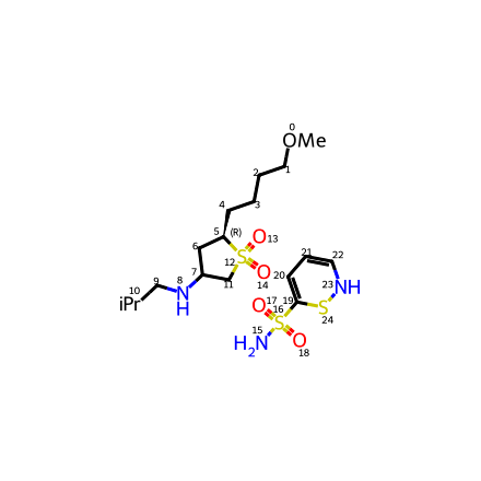 COCCCC[C@@H]1CC(NCC(C)C)CS1(=O)=O.NS(=O)(=O)C1=CC=CNS1